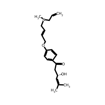 C=CCN(C)C/C=C/COc1ccc(C(=O)C[C@H](O)C=C(C)C)cc1